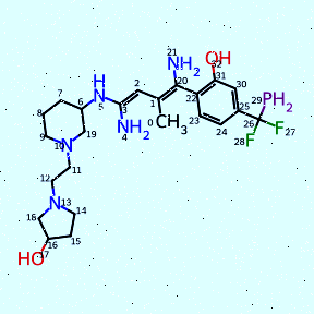 CC(/C=C(\N)NC1CCCN(CCN2CCC(O)C2)C1)=C(/N)c1ccc(C(F)(F)P)cc1O